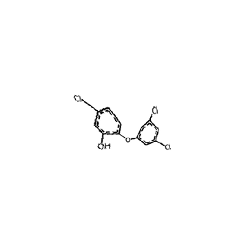 Oc1cc(Cl)ccc1Oc1cc(Cl)cc(Cl)c1